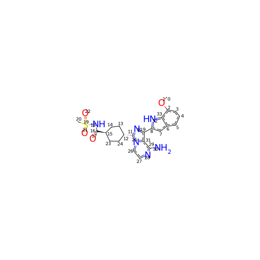 COc1cccc2cc(-c3nc([C@H]4CC[C@H](C(=O)NS(C)(=O)=O)CC4)n4ccnc(N)c34)[nH]c12